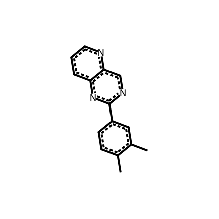 Cc1ccc(-c2ncc3ncccc3n2)cc1C